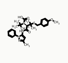 COc1ccc(CSC(C)(C)[C@@H](C(=O)Nc2cc(C)nn2-c2ccccc2)N(C(=O)O)C(C)(C)C)cc1